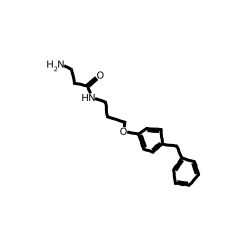 NCCC(=O)NCCCOc1ccc(Cc2ccccc2)cc1